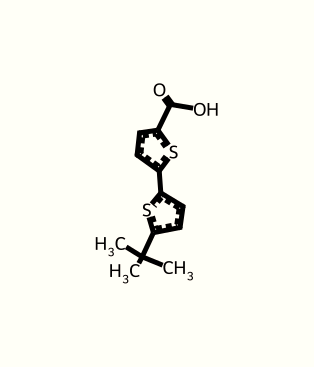 CC(C)(C)c1ccc(-c2ccc(C(=O)O)s2)s1